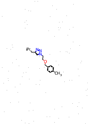 Cc1ccc(COCCn2cc(CC(C)C)nn2)cc1